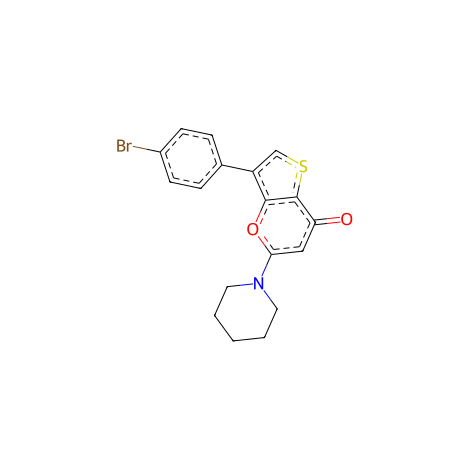 O=c1cc(N2CCCCC2)oc2c(-c3ccc(Br)cc3)csc12